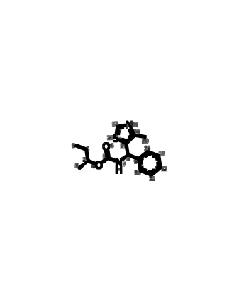 CC[C@H](C)OC(=O)N[C@H](c1ccccc1)c1scnc1C